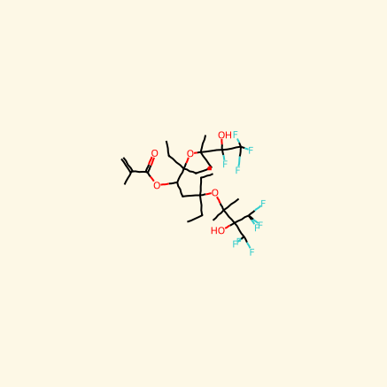 C=C(C)C(=O)OC(CC(CC)(CC)OC(C)(C)C(O)(C(F)(F)F)C(F)(F)F)C(CC)(CC)OC(C)(C)C(O)(F)C(F)(F)F